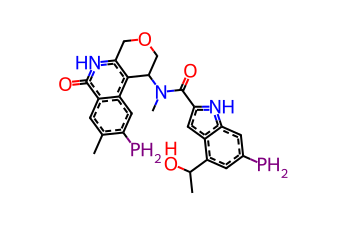 Cc1cc2c(=O)[nH]c3c(c2cc1P)C(N(C)C(=O)c1cc2c(C(C)O)cc(P)cc2[nH]1)COC3